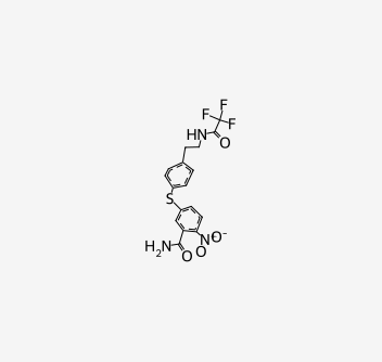 NC(=O)c1cc(Sc2ccc(CCNC(=O)C(F)(F)F)cc2)ccc1[N+](=O)[O-]